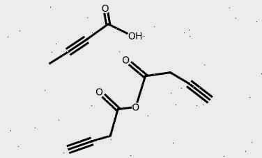 C#CCC(=O)OC(=O)CC#C.CC#CC(=O)O